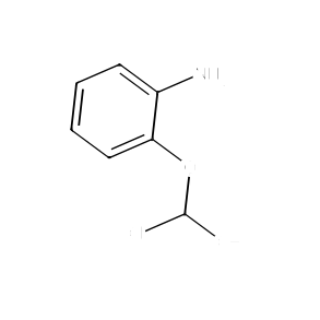 CC(Cl)Oc1ccccc1N